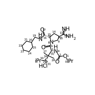 CC(C)OC(=O)N[C@@H](C(=O)N1C[C@H](C(=N)N)C[C@H]1C(=O)NCC1CCCCC1)C(C)(C)SC(C)C.Cl